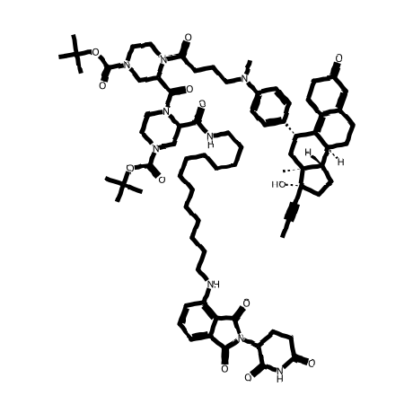 CC#C[C@]1(O)CC[C@H]2[C@@H]3CCC4=CC(=O)CCC4=C3[C@@H](c3ccc(N(C)CCCC(=O)N4CCN(C(=O)OC(C)(C)C)CC4C(=O)N4CCN(C(=O)OC(C)(C)C)CC4C(=O)NCCCCCCCCCCCCCNc4cccc5c4C(=O)N(C4CCC(=O)NC4=O)C5=O)cc3)C[C@@]21C